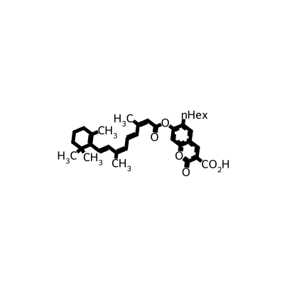 CCCCCCc1cc2cc(C(=O)O)c(=O)oc2cc1OC(=O)C=C(C)C=CC=C(C)C=CC1=C(C)CCCC1(C)C